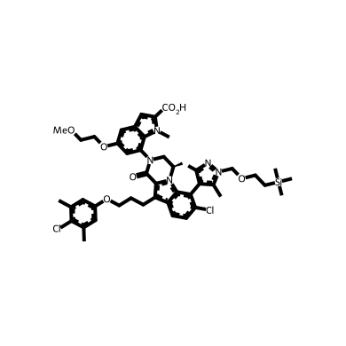 COCCOc1cc(N2C[C@@H](C)n3c(c(CCCOc4cc(C)c(Cl)c(C)c4)c4ccc(Cl)c(-c5c(C)nn(COCC[Si](C)(C)C)c5C)c43)C2=O)c2c(c1)cc(C(=O)O)n2C